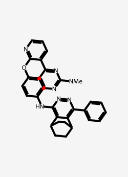 CNc1nccc(-c2cccnc2Oc2ccc(Nc3nnc(-c4ccccc4)c4c3C3CCC4CC3)cc2)n1